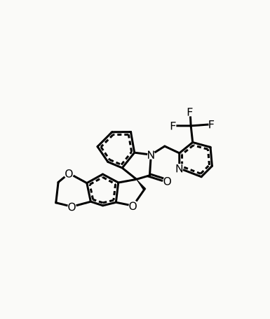 O=C1N(Cc2ncccc2C(F)(F)F)c2ccccc2[C@]12COc1cc3c(cc12)OCCO3